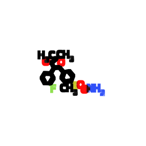 Cc1cc(C2=C(c3cccc(F)c3)C(=O)C(C)(C)O2)ccc1SOON